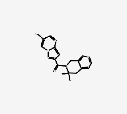 CC1(C)Cc2ccccc2CN1C(=O)c1cc2ncc(Cl)cn2n1